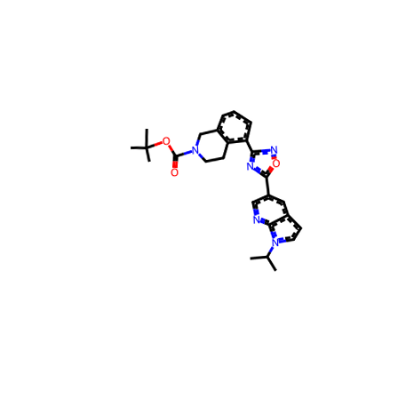 CC(C)n1ccc2cc(-c3nc(-c4cccc5c4CCN(C(=O)OC(C)(C)C)C5)no3)cnc21